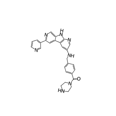 O=C(c1ccc(CNc2cnc3[nH]c4cnc(-c5cccnc5)cc4c3c2)cc1)N1CCNCC1